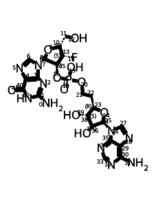 Nc1nc2c(ncn2[C@@H]2O[C@H](CO)[C@H](F)[C@H]2OP(=O)(O)OCC[C@H]2O[C@@H](n3cnc4c(N)ncnc43)[C@H](O)[C@@H]2O)c(=O)[nH]1